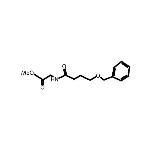 COC(=O)CNC(=O)CCCOCc1ccccc1